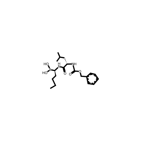 CCCC[C@H](NC(=O)[C@H](CC(C)C)NC(=O)OCc1ccccc1)B(O)O